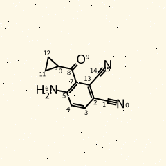 N#Cc1ccc(N)c(C(=O)C2CC2)c1C#N